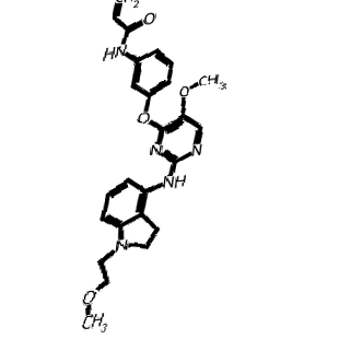 C=CC(=O)Nc1cccc(Oc2nc(Nc3cccc4c3CCN4CCOC)ncc2OC)c1